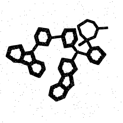 CC1CCCCC(C)(c2ccccc2N(c2cccc(-c3cccc(-n4c5ccccc5c5ccccc54)c3)c2)c2ccc3c(c2)sc2ccccc23)C1